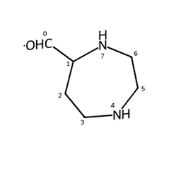 O=[C]C1CCNCCN1